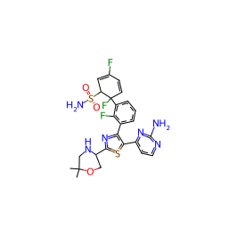 CC1(C)CNC(c2nc(-c3cccc(C4(F)C=CC(F)=CC4S(N)(=O)=O)c3F)c(-c3ccnc(N)n3)s2)CO1